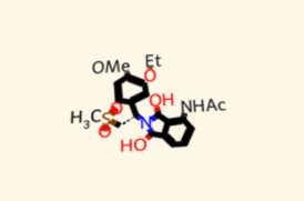 CCOc1cc([C@@H](CS(C)(=O)=O)N2C(O)c3cccc(NC(C)=O)c3C2O)ccc1OC